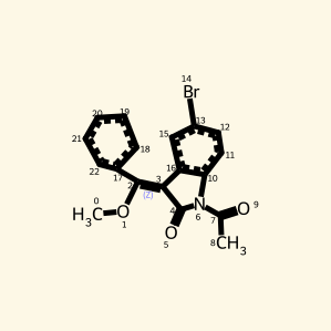 CO/C(=C1\C(=O)N(C(C)=O)c2ccc(Br)cc21)c1ccccc1